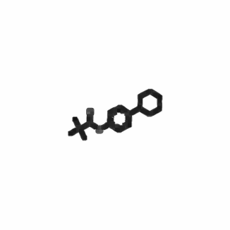 CC(C)(C)C(=O)Oc1ccc(C2CCCCC2)cc1